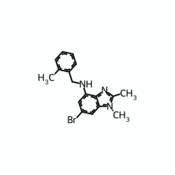 Cc1ccccc1CNc1cc(Br)cc2c1nc(C)n2C